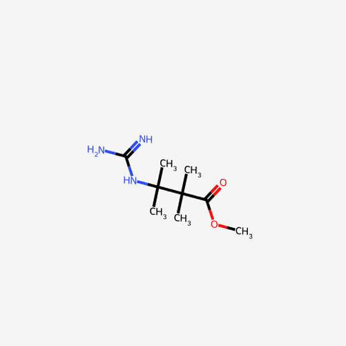 COC(=O)C(C)(C)C(C)(C)NC(=N)N